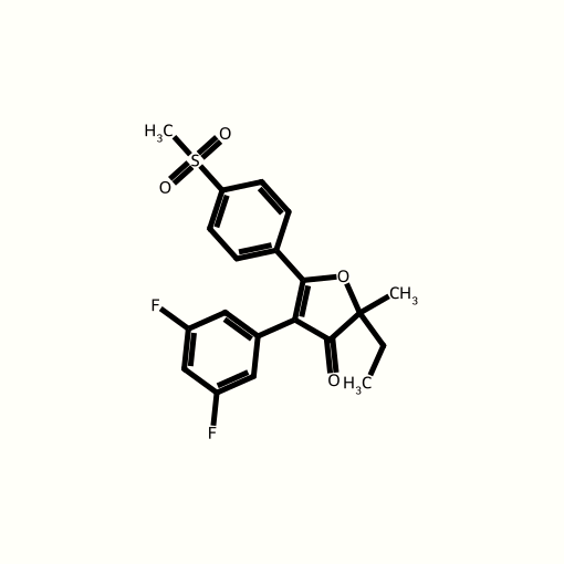 CCC1(C)OC(c2ccc(S(C)(=O)=O)cc2)=C(c2cc(F)cc(F)c2)C1=O